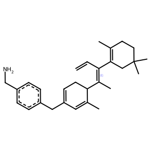 C=C/C(C1=C(C)CCC(C)(C)C1)=C(/C)C1CC=C(Cc2ccc(CN)cc2)C=C1C